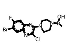 CB(O)N1CCN(c2nc3cc(F)c(Br)cc3nc2Cl)CC1